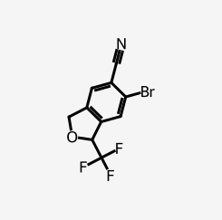 N#Cc1cc2c(cc1Br)C(C(F)(F)F)OC2